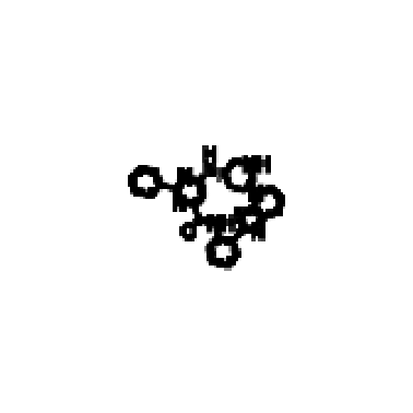 O=C(Nc1ccccc1-c1nc2cccnc2s1)c1cc(N[C@H]2CCCNC2)nc(-c2ccccc2)n1